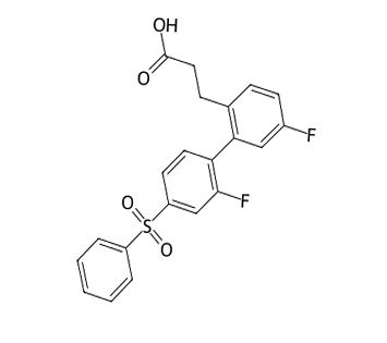 O=C(O)CCc1ccc(F)cc1-c1ccc(S(=O)(=O)c2ccccc2)cc1F